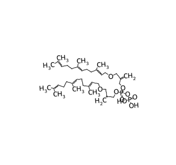 C=C(COC/C=C(\C)CC/C=C(\C)CCC=C(C)C)COP(=O)(OCC(=C)COC/C=C(\C)CC/C=C(\C)CCC=C(C)C)OP(=O)(O)O